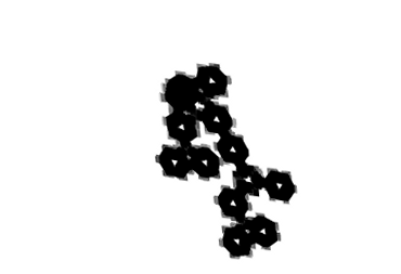 c1ccc(-c2nc(-c3ccc(-c4ccc(-n5c6ccccc6c6ccccc65)c(-n5c6ccccc6c6ccc(-n7c8ccccc8c8ccccc87)cc65)c4)cc3)nc(-c3cccc(-n4c5ccccc5c5ccccc54)c3)n2)cc1